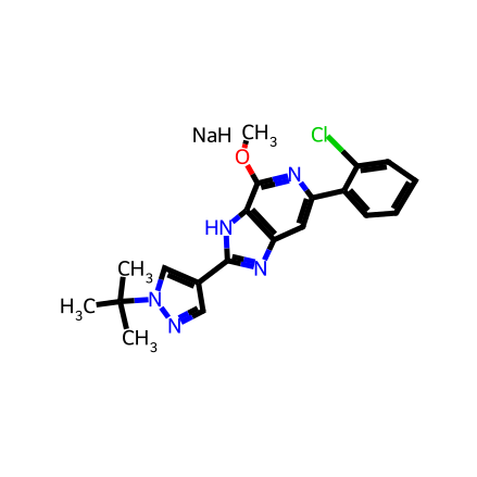 COc1nc(-c2ccccc2Cl)cc2nc(-c3cnn(C(C)(C)C)c3)[nH]c12.[NaH]